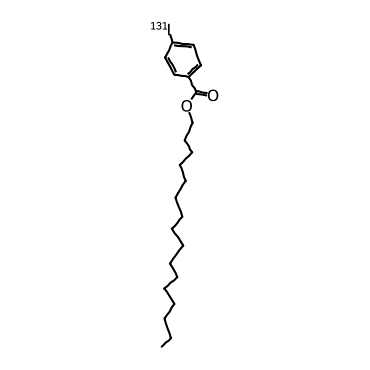 CCCCCCCCCCCCCCCCOC(=O)c1ccc([131I])cc1